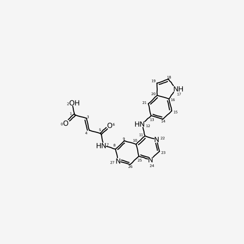 O=C(O)C=CC(=O)Nc1cc2c(Nc3ccc4[nH]ccc4c3)ncnc2cn1